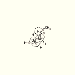 C[C@@]12CCC[C@@]34[C@@H]5C[C@@H]6CC[C@@H]([C@H]5C6)[C@@H](C[C@H]13)[C@@H]4NC2